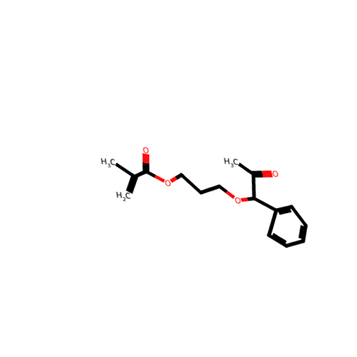 C=C(C)C(=O)OCCCOC(C(C)=O)c1ccccc1